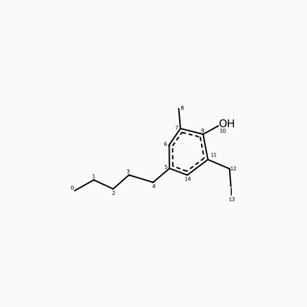 CCCCCc1cc(C)c(O)c(CI)c1